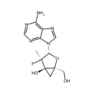 C[C@]1(F)[C@H](n2cnc3c(N)ncnc32)O[C@@]2(CO)C[C@@]21O